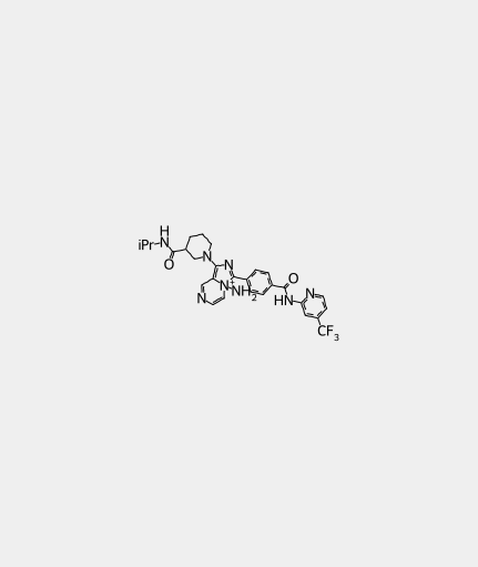 CC(C)NC(=O)C1CCCN(C2=C3C=NC=C[N+]3(N)C(c3ccc(C(=O)Nc4cc(C(F)(F)F)ccn4)cc3)=N2)C1